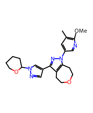 COc1ncc(-n2nc(-c3cnn(C4CCCCO4)c3)c3c2CCOCC3)cc1C